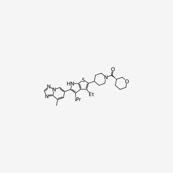 CCc1c(C2CCN(C(=O)[C@@H]3CCCOC3)CC2)sc2[nH]c(-c3cc(C)c4ncnn4c3)c(C(C)C)c12